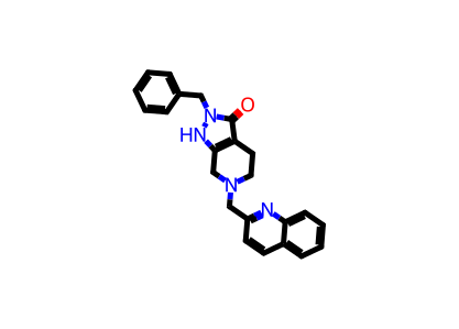 O=c1c2c([nH]n1Cc1ccccc1)CN(Cc1ccc3ccccc3n1)CC2